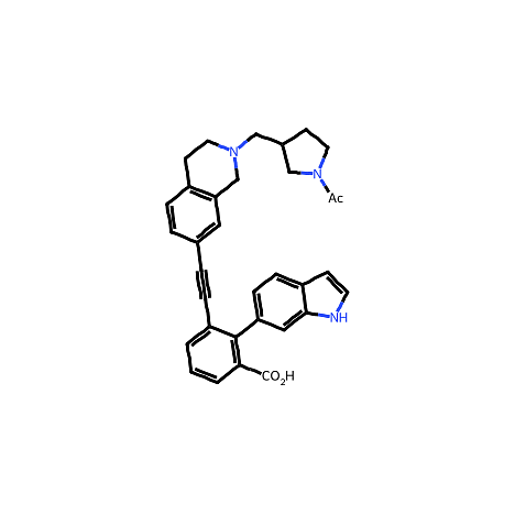 CC(=O)N1CCC(CN2CCc3ccc(C#Cc4cccc(C(=O)O)c4-c4ccc5cc[nH]c5c4)cc3C2)C1